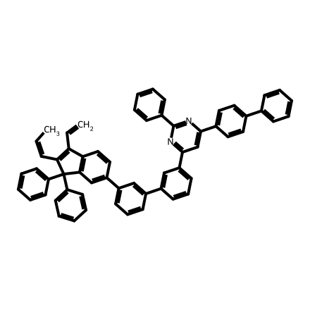 C=CC1=C(/C=C\C)C(c2ccccc2)(c2ccccc2)c2cc(-c3cccc(-c4cccc(-c5cc(-c6ccc(-c7ccccc7)cc6)nc(-c6ccccc6)n5)c4)c3)ccc21